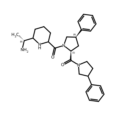 C[C@@H](N)C1CCCC(C(=O)N2C[C@@H](c3ccccc3)C[C@H]2C(=O)N2CCC(c3ccccc3)C2)N1